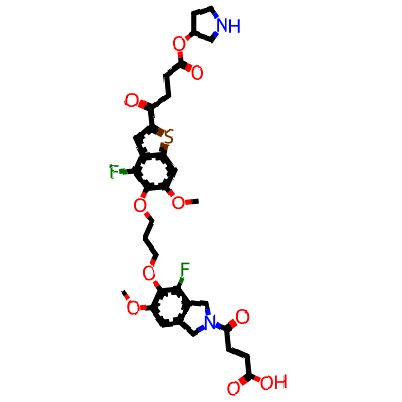 COc1cc2c(c(F)c1OCCCOc1c(OC)cc3sc(C(=O)CCC(=O)OC4CCNC4)cc3c1F)CN(C(=O)CCC(=O)O)C2